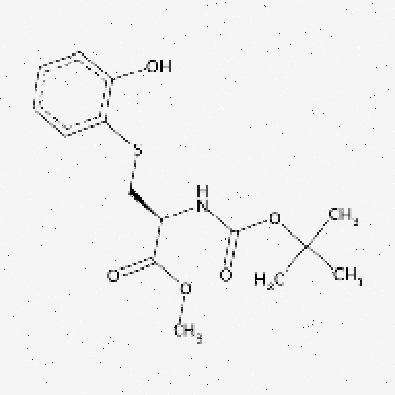 COC(=O)[C@@H](CSc1ccccc1O)NC(=O)OC(C)(C)C